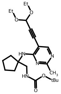 CCOC(C#Cc1cnc(C)nc1NC1(CNC(=O)OC(C)(C)C)CCCC1)OCC